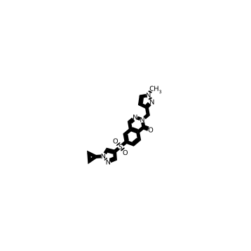 Cn1ccc(Cn2ncc3cc(S(=O)(=O)c4cnn(C5CC5)c4)ccc3c2=O)n1